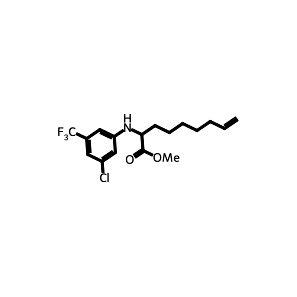 C=CCCCCCC(Nc1cc(Cl)cc(C(F)(F)F)c1)C(=O)OC